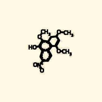 COC1=CC(OC)Cc2c(OC)c(O)c3cc([N+](=O)[O-])ccc3c21